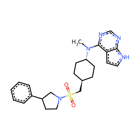 CN(c1ncnc2[nH]ccc12)[C@H]1CC[C@H](CS(=O)(=O)N2CCC(c3ccccc3)C2)CC1